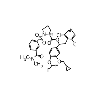 CN(C)C(=O)c1cccc(S(=O)(=O)N2CCC[C@H]2C(=O)OC(Cc2c(Cl)cncc2Cl)c2ccc(OC(F)F)c(OCC3CC3)c2)c1